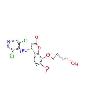 COc1ccc2c(Nc3c(Cl)cncc3Cl)cc(=O)oc2c1OCC=CCO